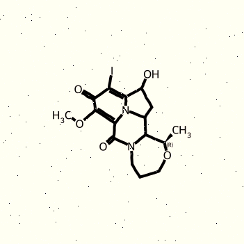 COc1c2n3c(c(I)c1=O)C(O)CC3C1[C@@H](C)OCCCN1C2=O